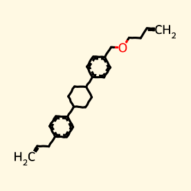 C=CCCOCc1ccc(C2CCC(c3ccc(CC=C)cc3)CC2)cc1